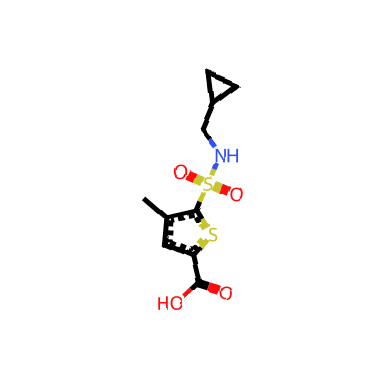 Cc1cc(C(=O)O)sc1S(=O)(=O)NCC1CC1